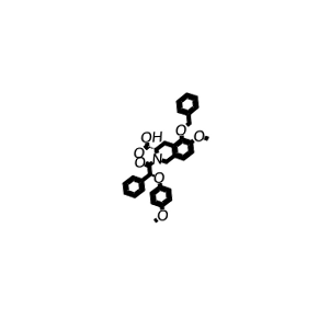 COc1ccc(O[C@H](C(=O)N2Cc3ccc(OC)c(OCc4ccccc4)c3C[C@H]2C(=O)O)c2ccccc2)cc1